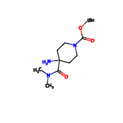 CN(C)C(=O)C1(N)CCN(C(=O)OC(C)(C)C)CC1